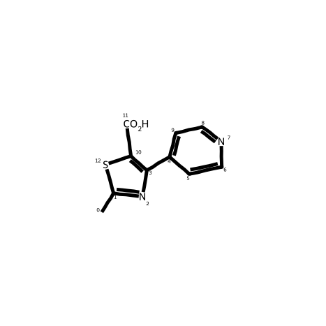 Cc1nc(-c2ccncc2)c(C(=O)O)s1